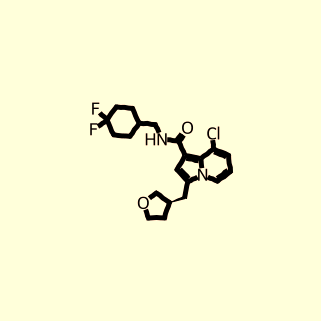 O=C(NCC1CCC(F)(F)CC1)c1cc(C[C@H]2CCOC2)n2cccc(Cl)c12